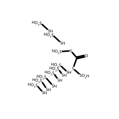 O=C(SS(=O)(=O)O)SS(=O)(=O)O.O=S(=O)(O)S.O=S(=O)(O)S.O=S(=O)(O)S.O=S(=O)(O)S.O=S(=O)(O)S.O=S(=O)(O)S.O=S(=O)(O)S.O=S(=O)(O)S